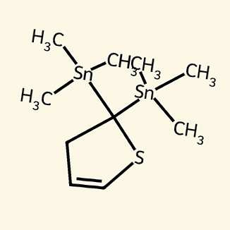 [CH3][Sn]([CH3])([CH3])[C]1([Sn]([CH3])([CH3])[CH3])CC=CS1